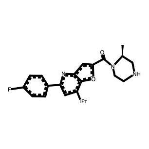 CC(C)c1cc(-c2ccc(F)cc2)nc2cc(C(=O)N3CCNC[C@@H]3C)oc12